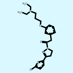 CCN(CC)CCCOc1cccc(CC(=O)N2CCC(c3ccc(Cl)s3)=N2)c1